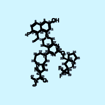 CCc1c(F)ccc2cc(O)cc(N3CCc4c(nc(OC[C@@]56CCCN5C[C@@]5(CC5(F)F)C6)nc4N4CCCn5nc(C(=O)N(C)C)cc5C4)C3)c12